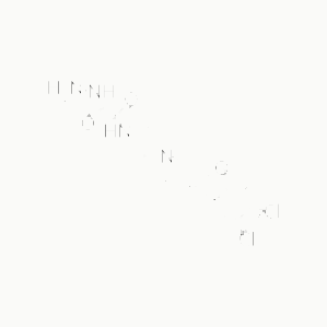 NNC(=O)C(=O)NCCN1CCC(Oc2ccc(Cl)c(Cl)c2)CC1